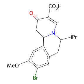 COc1cc2c(cc1Br)CC(C(C)C)N1C=C(C(=O)O)C(=O)CC21